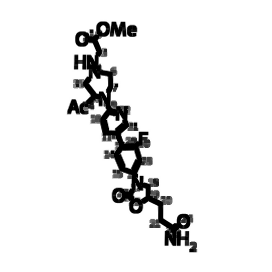 COC(=O)CNN1CCN(c2ccc(-c3ccc(N4CC(CCC(N)=O)OC4=O)cc3F)cn2)C(C(C)=O)C1